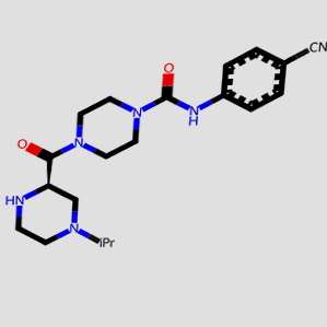 CC(C)N1CCN[C@@H](C(=O)N2CCN(C(=O)Nc3ccc(C#N)cc3)CC2)C1